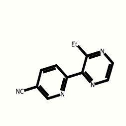 CCc1nccnc1-c1ccc(C#N)cn1